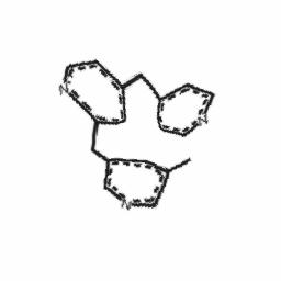 Cc1cncc(Cc2cc(Cc3ccncc3)ccn2)c1